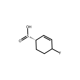 O=S(O)[C@@H]1C=CC(F)CC1